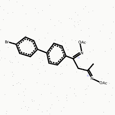 CC(=O)O/N=C(/C/C(C)=N/OC(C)=O)c1ccc(-c2ccc(Br)cc2)cc1